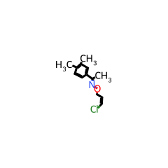 C/C(=N\OC/C=C\Cl)c1ccc(C)c(C)c1